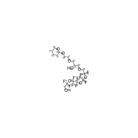 OCC(F)(F)OC(F)(F)C(F)(F)OC(F)(F)OC(F)(F)COCC(O)COCCOC1CCCCO1